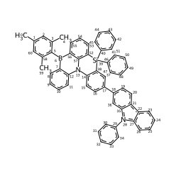 Cc1cc(C)c(B2c3ccccc3N3c4ccc(-c5ccc6c7ccccc7n(-c7ccccc7)c6c5)cc4[Si](c4ccccc4)(c4ccccc4)c4cccc2c43)c(C)c1